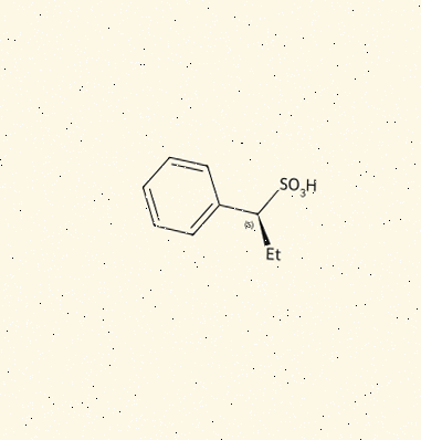 CC[C@@H](c1ccccc1)S(=O)(=O)O